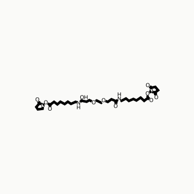 O=C(CCOCCOCCC(O)NCCCCCCCC(=O)ON1CCCC1=O)NCCCCCCCC(=O)ON1C(=O)CCC1=O